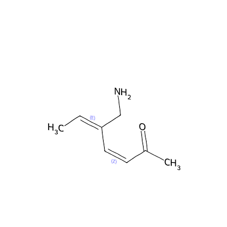 C/C=C(\C=C/C(C)=O)CN